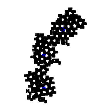 Cc1cc(-c2ccc3c4c(ccc3c2)C2(c3ccccc3-c3ccccc32)c2cc(N(c3ccccc3)c3cc(C)c(C)c(C)c3)c3ccccc3c2-4)c(C)c(N(c2ccccc2)c2cc3c(c4ccccc24)-c2c(ccc4cc(-c5c(C)ccc(N(c6ccccc6)c6cc7c(c8ccccc68)-c6c(ccc8ccccc68)C76c7ccccc7-c7ccccc76)c5C)ccc24)C32c3ccccc3-c3ccccc32)c1